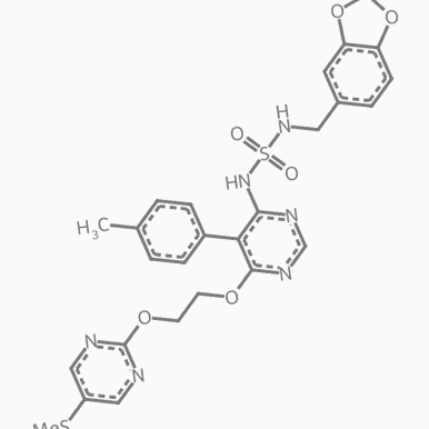 CSc1cnc(OCCOc2ncnc(NS(=O)(=O)NCc3ccc4c(c3)OCO4)c2-c2ccc(C)cc2)nc1